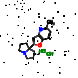 Cc1ccc2oc(C34CCCN3CCC4)cc2n1.Cl.Cl